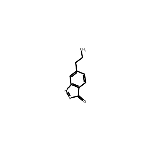 CCCc1ccc2c(c1)N=NC2=O